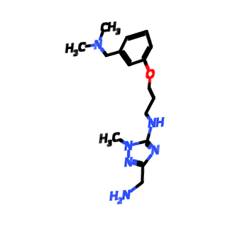 CN(C)Cc1cccc(OCCCNc2nc(CN)nn2C)c1